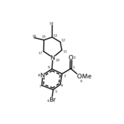 COC(=O)c1cc(Br)cnc1N1CCC(C)C(C)C1